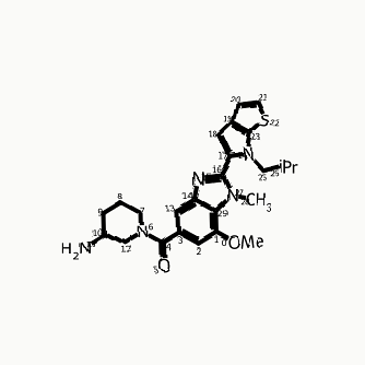 COc1cc(C(=O)N2CCCC(N)C2)cc2nc(-c3cc4ccsc4n3CC(C)C)n(C)c12